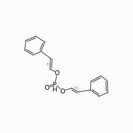 O=[PH](O/C=C/c1ccccc1)O/C=C/c1ccccc1